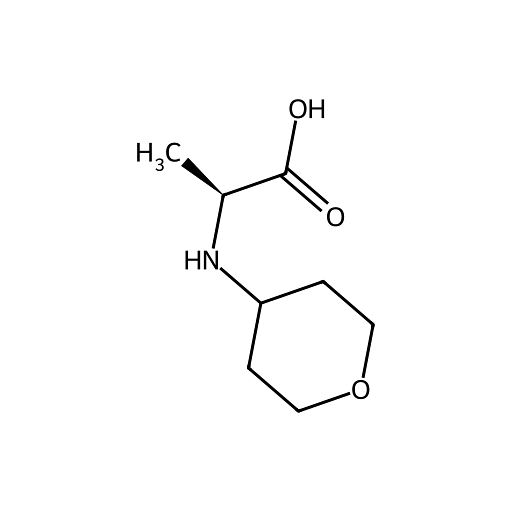 C[C@H](NC1CCOCC1)C(=O)O